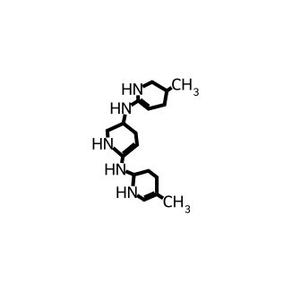 CC1=CNC(NC2=CCC(NC3=CCC(C)CN3)CN2)CC1